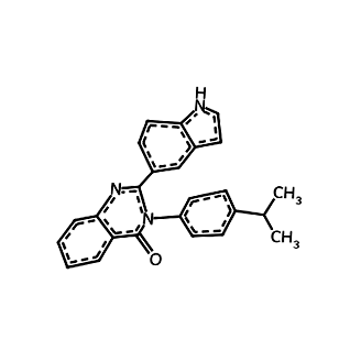 CC(C)c1ccc(-n2c(-c3ccc4[nH]ccc4c3)nc3ccccc3c2=O)cc1